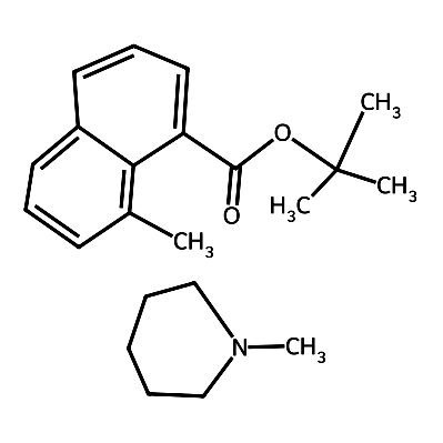 CN1CCCCC1.Cc1cccc2cccc(C(=O)OC(C)(C)C)c12